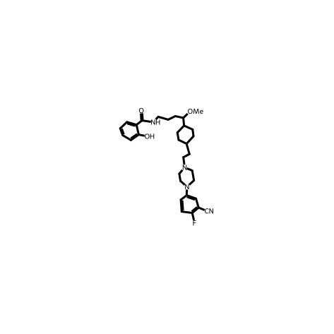 COC(CCCNC(=O)c1ccccc1O)C1CCC(CCN2CCN(c3ccc(F)c(C#N)c3)CC2)CC1